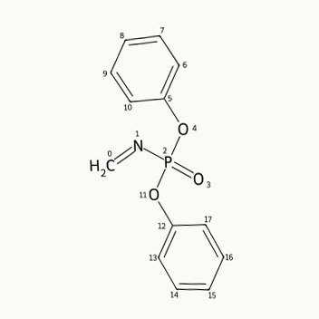 C=NP(=O)(Oc1ccccc1)Oc1ccccc1